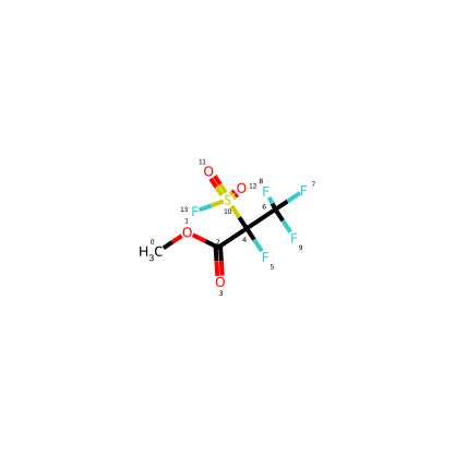 COC(=O)C(F)(C(F)(F)F)S(=O)(=O)F